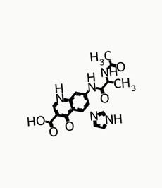 CC(=O)NC(C)C(=O)Nc1ccc2c(=O)c(C(=O)O)c[nH]c2c1.c1c[nH]cn1